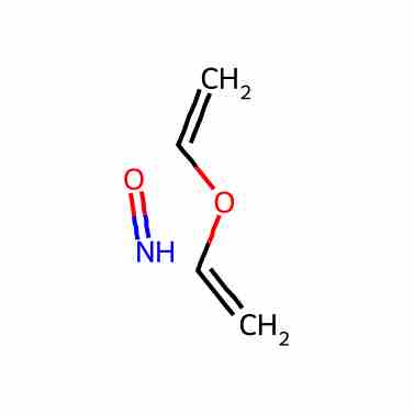 C=COC=C.N=O